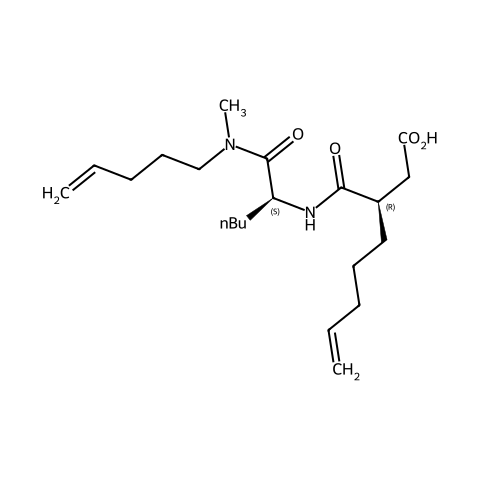 C=CCCC[C@H](CC(=O)O)C(=O)N[C@@H](CCCC)C(=O)N(C)CCCC=C